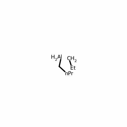 CCC[CH2][AlH2].[CH2]CC